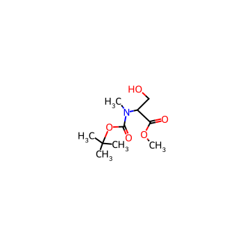 COC(=O)C(CO)N(C)C(=O)OC(C)(C)C